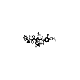 Cc1ccc(NC(=O)c2c(C)c(C(=O)C(=O)NC3(c4nncs4)CC3)c3n2[C@@H]2C[C@@H]2C3)cc1F